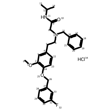 COc1cc(CCN(CC(=O)NC(C)C)Cc2ccccc2)ccc1OCc1cccc(F)c1.Cl